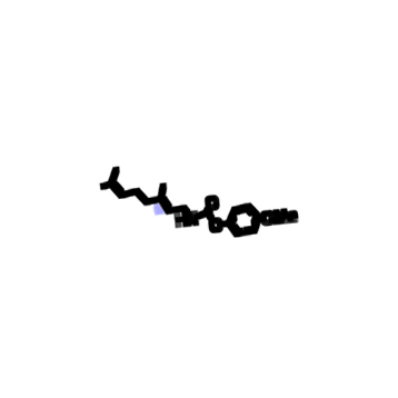 COc1ccc(OC(=O)NC/C=C(\C)CCC=C(C)C)cc1